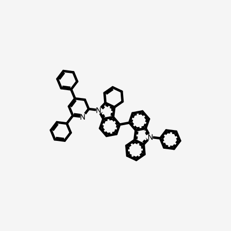 C1=CCCC(C2=CC(C3C=CC=CC3)=NC(n3c4c(c5c(-c6cccc7c6c6ccccc6n7-c6ccccc6)cccc53)CCC=C4)C2)=C1